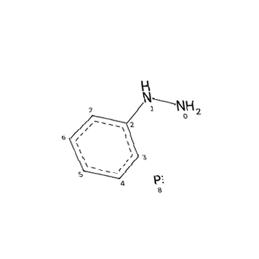 NNc1ccccc1.[P]